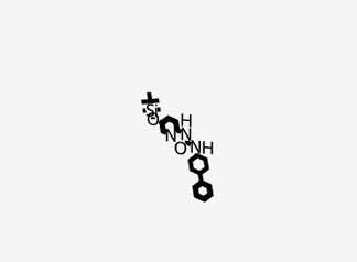 CC(C)(C)[Si](C)(C)Oc1ccc(NC(=O)NC2CCC(c3ccccc3)CC2)nc1